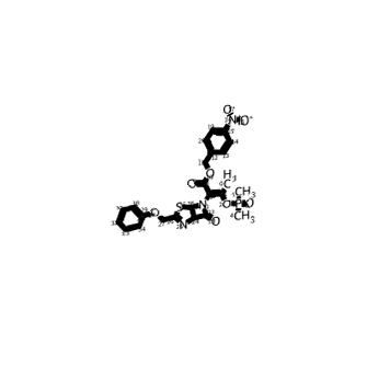 CC(OP(C)(C)=O)=C(C(=O)OCc1ccc([N+](=O)[O-])cc1)N1C(=O)C2N=C(COc3ccccc3)SC21